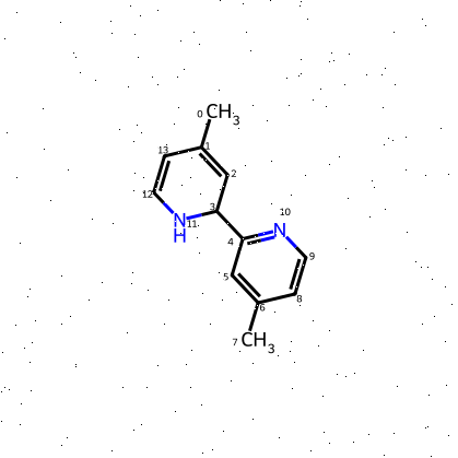 CC1=CC(c2cc(C)ccn2)NC=C1